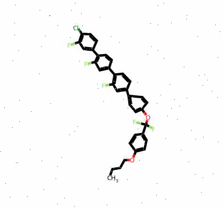 CCCCOc1ccc(C(F)(F)Oc2ccc(-c3ccc(-c4ccc(-c5ccc(Cl)c(F)c5)c(F)c4)c(F)c3)cc2)cc1